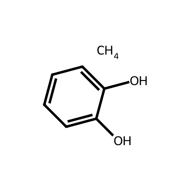 C.Oc1ccccc1O